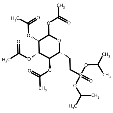 CC(=O)OC1O[C@H](CCP(=O)(OC(C)C)OC(C)C)[C@@H](OC(C)=O)[C@H](OC(C)=O)[C@@H]1OC(C)=O